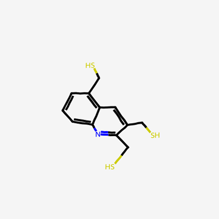 SCc1cc2c(CS)cccc2nc1CS